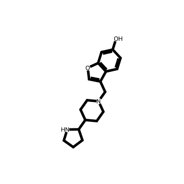 Oc1ccc2c(CN3CCC(C4CCCN4)CC3)coc2c1